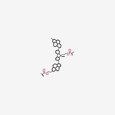 C=CC1(CCCOC(=O)C(=C)C)c2cc(-c3ccc4ccc5cc(C)cc6ccc3c4c56)ccc2-c2ccc(-c3ccc4ccc5cc(CCOC(=O)C(=C)C)cc6ccc3c4c56)cc21